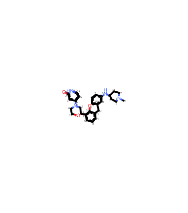 CN1CCC(Nc2ccc3c(c2)Cc2cccc(C4CN(c5cc[nH]c(=O)c5)CCO4)c2O3)CC1